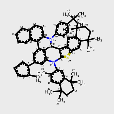 Cc1ccccc1-c1cc2c3c(c1)N(c1cc4c(cc1C)C(C)(C)CCC4(C)C)c1sc4cc5c(cc4c1B3N(c1ccc(C(C)(C)C)cc1)c1ccc3ccccc3c1-2)C(C)(C)CCC5(C)C